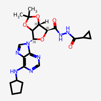 CC1(C)OC2[C@H](O1)[C@@H](C(=O)NNC(=O)C1CC1)O[C@@H]2n1cnc2c(NC3CCCC3)ncnc21